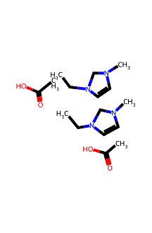 CC(=O)O.CC(=O)O.CCN1C=CN(C)C1.CCN1C=CN(C)C1